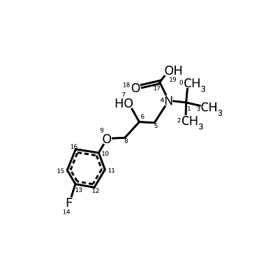 CC(C)(C)N(CC(O)COc1ccc(F)cc1)C(=O)O